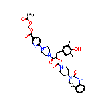 Cc1cc(C[C@@H](OC(=O)N2CCC(N3CCc4ccccc4NC3=O)CC2)C(=O)N2CCN(c3ccc(C(=O)OCOC(=O)C(C)(C)C)cn3)CC2)cc(C)c1O